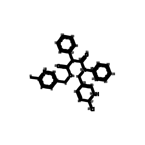 Cc1ccc(COC(=O)C(C(=O)N(CC2=CNC(Cl)C=C2)c2ccccn2)c2ccccc2)cn1